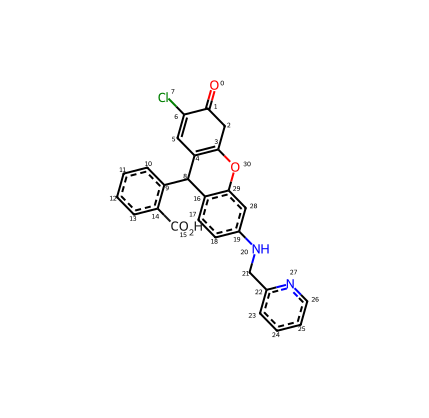 O=C1CC2=C(C=C1Cl)C(c1ccccc1C(=O)O)c1ccc(NCc3ccccn3)cc1O2